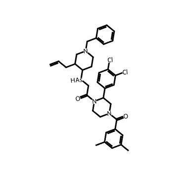 C=CCC1CN(Cc2ccccc2)CCC1[AsH]CC(=O)N1CCN(C(=O)c2cc(C)cc(C)c2)CC1c1ccc(Cl)c(Cl)c1